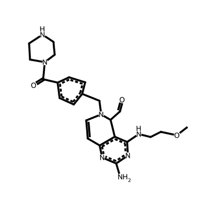 COCCNc1nc(N)nc2c1C(C=O)N(Cc1ccc(C(=O)N3CCNCC3)cc1)C=C2